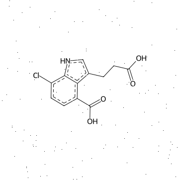 O=C(O)CCc1c[nH]c2c(Cl)ccc(C(=O)O)c12